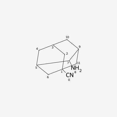 N#CC12CC3CC(C1)C(N)C(C3)C2